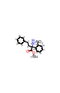 CC(C)(C)OC(=O)[C@](N)(CCc1ccccc1)c1ccccc1[N+](=O)[O-]